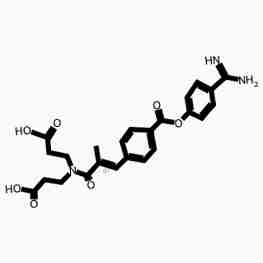 C/C(=C\c1ccc(C(=O)Oc2ccc(C(=N)N)cc2)cc1)C(=O)N(CCC(=O)O)CCC(=O)O